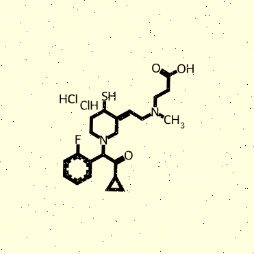 CN(CC=C1CN(C(C(=O)C2CC2)c2ccccc2F)CCC1S)CCC(=O)O.Cl.Cl